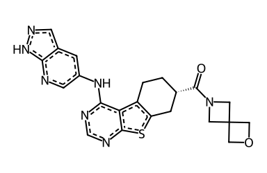 O=C([C@H]1CCc2c(sc3ncnc(Nc4cnc5[nH]ncc5c4)c23)C1)N1CC2(COC2)C1